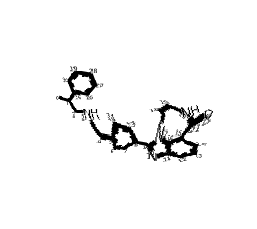 CC(CNCc1ccc(-c2nc3cccc4c3n2CCNC4=O)cc1)c1ccccc1